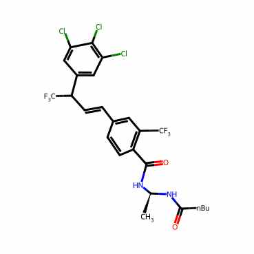 CCCCC(=O)N[C@@H](C)NC(=O)c1ccc(/C=C/C(c2cc(Cl)c(Cl)c(Cl)c2)C(F)(F)F)cc1C(F)(F)F